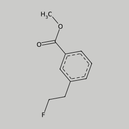 COC(=O)c1cccc(CCF)c1